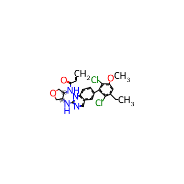 C=CC(=O)N[C@@H]1COC[C@@H]1Nc1ncc2cc(-c3c(Cl)c(CC)cc(OC)c3Cl)ccc2n1